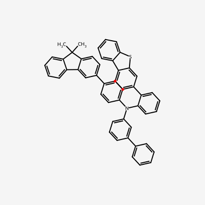 CC1(C)c2ccccc2-c2cc(-c3ccc(N(c4cccc(-c5ccccc5)c4)c4ccccc4-c4ccc5c(c4)sc4ccccc45)cc3)ccc21